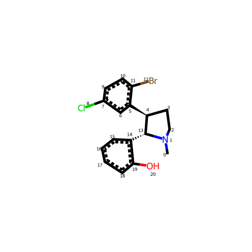 CN1CC[C@H](c2cc(Cl)ccc2Br)[C@H]1c1ccccc1O